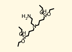 CCO[SiH](CCCN(CCN)CCC[SiH](OCC)OCC)OCC